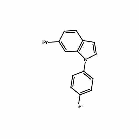 CC(C)c1ccc(-n2ccc3ccc(C(C)C)cc32)cc1